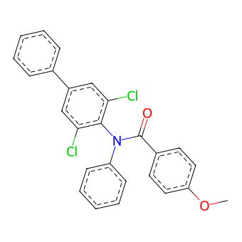 COc1ccc(C(=O)N(c2ccccc2)c2c(Cl)cc(-c3ccccc3)cc2Cl)cc1